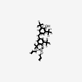 C=CCOB(OCC=C)Oc1c(C(C)(C)C)cc(Cc2cc(C(C)(C)C)c(O)c(C(C)(C)C)c2)cc1C(C)(C)C